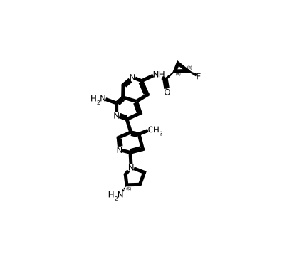 Cc1cc(N2CC[C@H](N)C2)ncc1-c1cc2cc(NC(=O)[C@H]3C[C@H]3F)ncc2c(N)n1